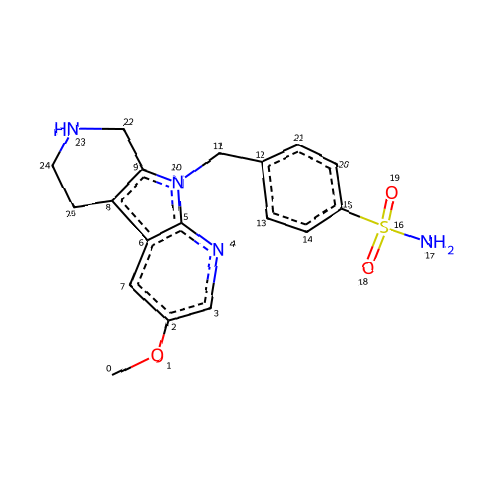 COc1cnc2c(c1)c1c(n2Cc2ccc(S(N)(=O)=O)cc2)CNCC1